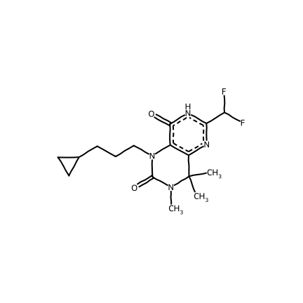 CN1C(=O)N(CCCC2CC2)c2c(nc(C(F)F)[nH]c2=O)C1(C)C